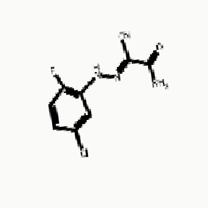 N#C/C(=N\Nc1cc(Cl)ccc1F)C(N)=O